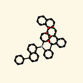 c1ccc(-c2cccc3c(N(c4ccc(-c5cccc6ccccc56)cc4)c4ccccc4-c4cc5ccccc5c5ccccc45)cccc23)cc1